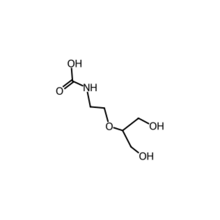 O=C(O)NCCOC(CO)CO